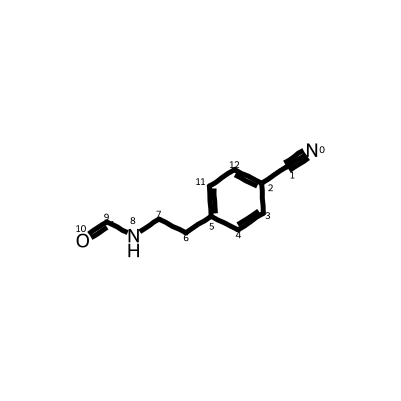 N#Cc1ccc(CCN[C]=O)cc1